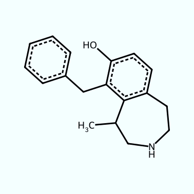 CC1CNCCc2ccc(O)c(Cc3ccccc3)c21